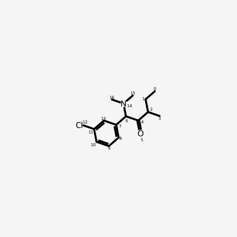 CCC(C)C(=O)C(c1cccc(Cl)c1)N(C)C